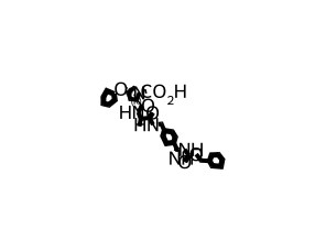 CC(NC(=O)[C@H]1C[C@H](Oc2ccccc2)CN1C(=O)O)C(=O)NCc1ccc(C(=N)NC(=O)OCc2ccccc2)cc1